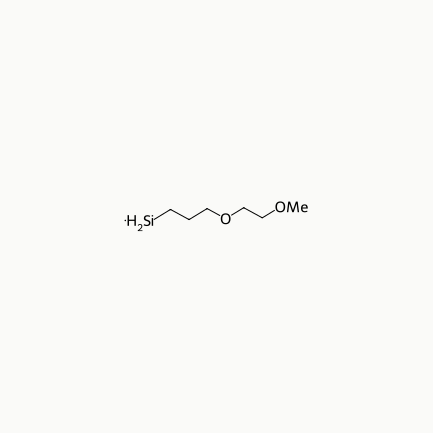 COCCOCCC[SiH2]